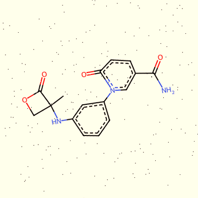 CC1(Nc2cccc(-n3cc(C(N)=O)ccc3=O)c2)COC1=O